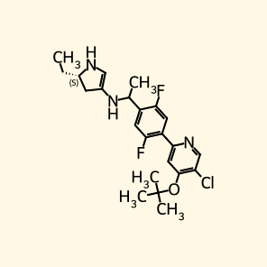 CC[C@H]1CC(NC(C)c2cc(F)c(-c3cc(OC(C)(C)C)c(Cl)cn3)cc2F)=CN1